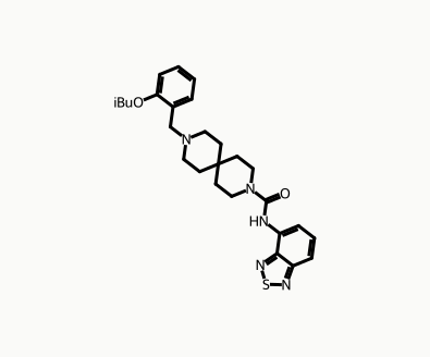 CC(C)COc1ccccc1CN1CCC2(CC1)CCN(C(=O)Nc1cccc3nsnc13)CC2